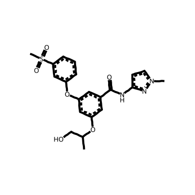 CC(CO)Oc1cc(Oc2cccc(S(C)(=O)=O)c2)cc(C(=O)Nc2ccn(C)n2)c1